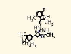 C=C/N=C1/C=C(c2cc(C)c(OC)c(C)c2)S/C1=C(/N)NCCc1c(C)[nH]c2c(F)ccc(C)c12